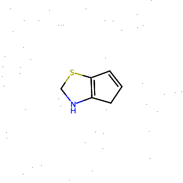 C1=CC2=C(C1)NCS2